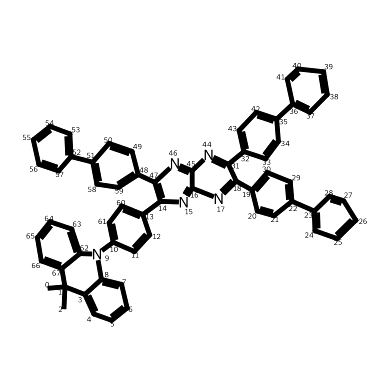 CC1(C)c2ccccc2N(c2ccc(-c3nc4nc(-c5ccc(-c6ccccc6)cc5)c(-c5ccc(-c6ccccc6)cc5)nc4nc3-c3ccc(-c4ccccc4)cc3)cc2)c2ccccc21